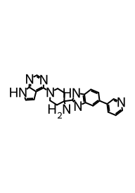 NC1(c2nc3cc(-c4cccnc4)ccc3[nH]2)CCN(c2ncnc3[nH]ccc23)CC1